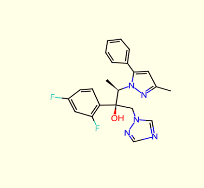 Cc1cc(-c2ccccc2)n([C@H](C)[C@](O)(Cn2cncn2)c2ccc(F)cc2F)n1